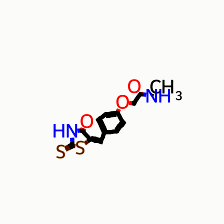 CNC(=O)COc1ccc(C=C2SC(=S)NC2=O)cc1